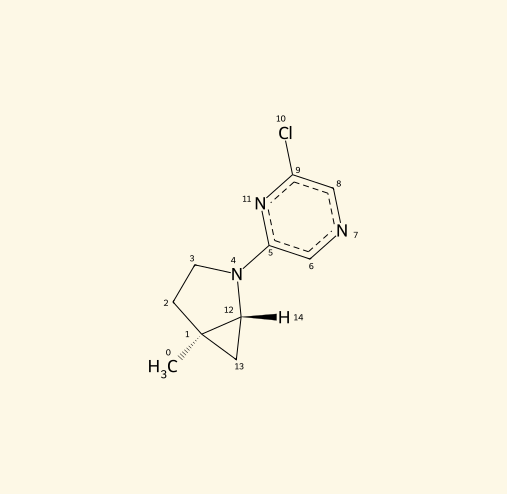 C[C@]12CCN(c3cncc(Cl)n3)[C@@H]1C2